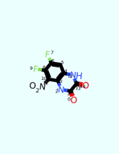 O=C1[N]c2c(cc(F)c(F)c2[N+](=O)[O-])NC1=O